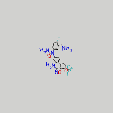 NCc1cc(N(C(N)=O)c2ccc(-c3ccc(OC(F)(F)F)c4onc(N)c34)cc2)ccc1F